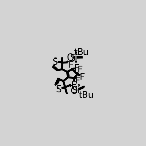 CC1(CO[Si](C)(C)C(C)(C)C)SC=CC1C1=C(C2C=CSC2(C)CO[Si](C)(C)C(C)(C)C)C(F)(F)C(F)(F)C1(F)F